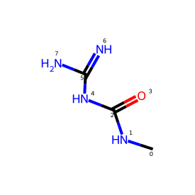 CNC(=O)NC(=N)N